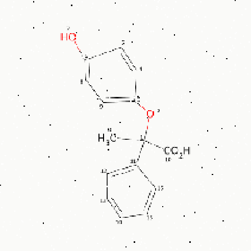 CC(Oc1ccc(O)cc1)(C(=O)O)c1ccccc1